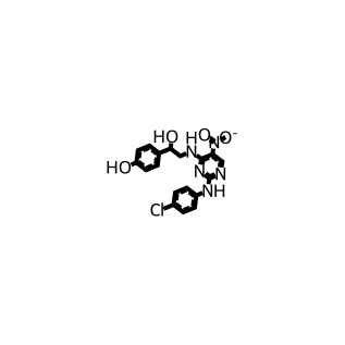 O=[N+]([O-])c1cnc(Nc2ccc(Cl)cc2)nc1NCC(O)c1ccc(O)cc1